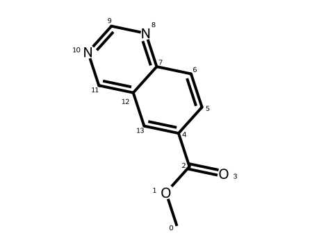 COC(=O)c1ccc2ncncc2c1